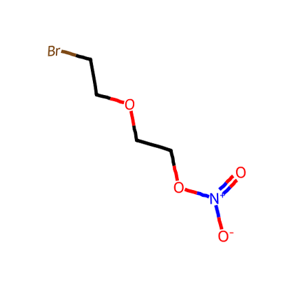 O=[N+]([O-])OCCOCCBr